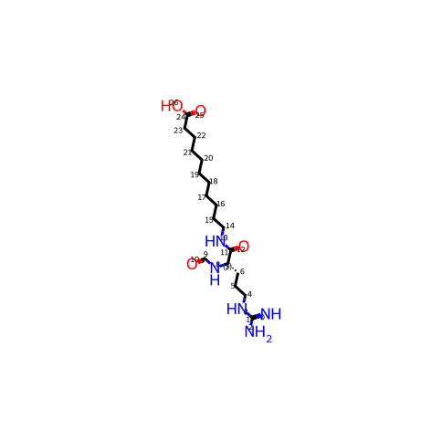 N=C(N)NCCC[C@H](NC=O)C(=O)NCCCCCCCCCCC(=O)O